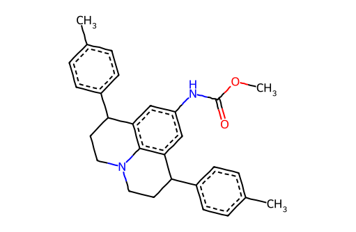 COC(=O)Nc1cc2c3c(c1)C(c1ccc(C)cc1)CCN3CCC2c1ccc(C)cc1